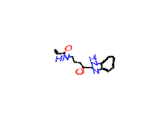 C=CC(=O)NCCCC(=O)c1nc2ccccc2[nH]1